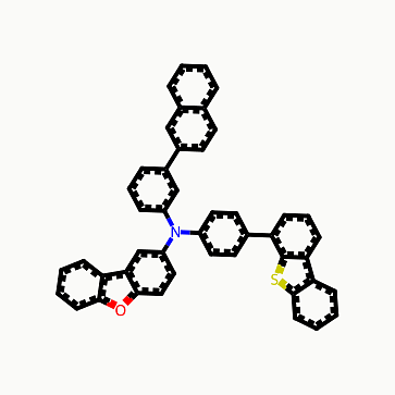 c1cc(-c2ccc3ccccc3c2)cc(N(c2ccc(-c3cccc4c3sc3ccccc34)cc2)c2ccc3oc4ccccc4c3c2)c1